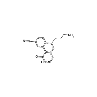 N#Cc1ccc2c(CCCN)cc3cc[nH]c(=O)c3c2c1